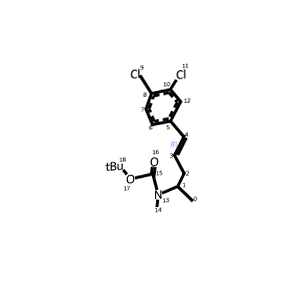 CC(C/C=C/c1ccc(Cl)c(Cl)c1)N(C)C(=O)OC(C)(C)C